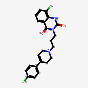 O=c1[nH]c2c(Cl)cccc2c(=O)n1CCCN1CC=C(c2ccc(Cl)cc2)CC1